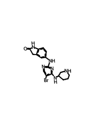 O=C1Cc2cc(Nc3ncc(Br)c(NC4CCCNC4)n3)ccc2N1